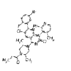 C=CC(=O)N1C[C@H](C)N(c2nc(=O)n(-c3c(C)ccnc3C(C)C)c3nc(-c4cc(Br)ccc4F)c(Cl)cc23)C[C@H]1C